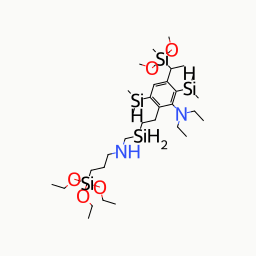 CCO[Si](CCCNC[SiH2]CCc1c([SiH](C)C)cc(C(C)[Si](C)(OC)OC)c([SiH](C)C)c1N(CC)CC)(OCC)OCC